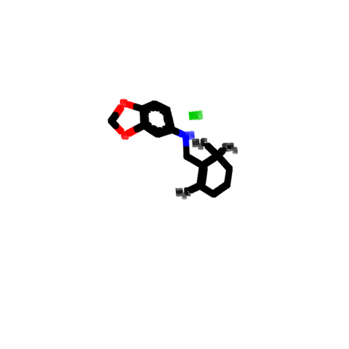 CC1=C(CNc2ccc3c(c2)OCO3)C(C)(C)CCC1.Cl